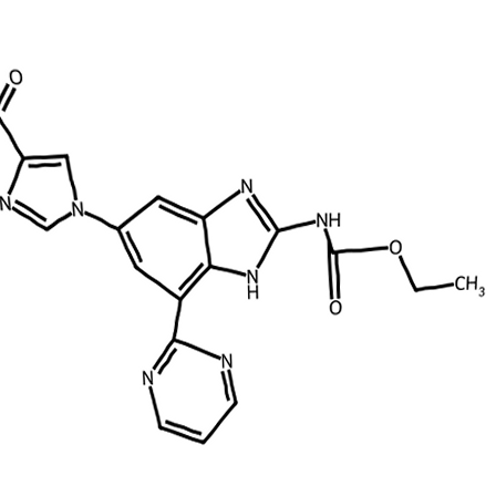 CCOC(=O)Nc1nc2cc(-n3cnc(C=O)c3)cc(-c3ncccn3)c2[nH]1